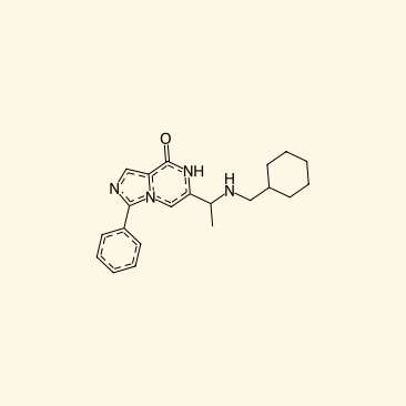 CC(NCC1CCCCC1)c1cn2c(-c3ccccc3)ncc2c(=O)[nH]1